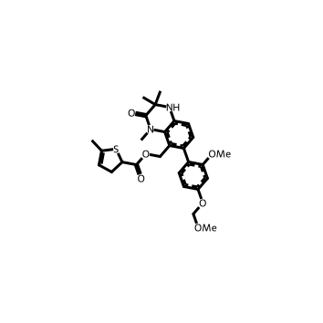 COCOc1ccc(-c2ccc3c(c2COC(=O)C2CC=C(C)S2)N(C)C(=O)C(C)(C)N3)c(OC)c1